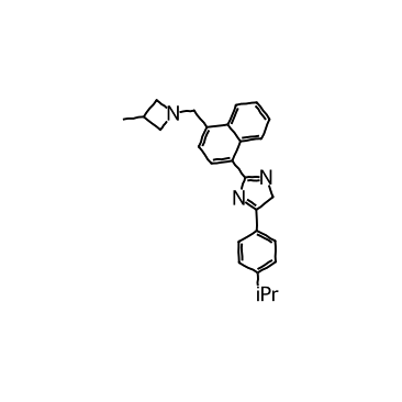 CC1CN(Cc2ccc(C3=NCC(c4ccc(C(C)C)cc4)=N3)c3ccccc23)C1